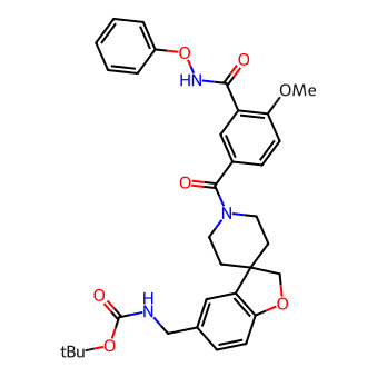 COc1ccc(C(=O)N2CCC3(CC2)COc2ccc(CNC(=O)OC(C)(C)C)cc23)cc1C(=O)NOc1ccccc1